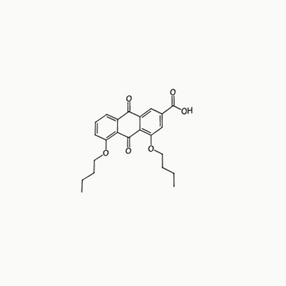 CCCCOc1cccc2c1C(=O)c1c(OCCCC)cc(C(=O)O)cc1C2=O